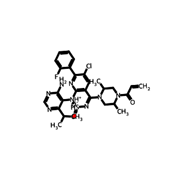 C=CC(=O)N1CC(C)N(/C(=N/[SH]=O)c2cc(Cl)c(-c3ccccc3F)nc2[NH+]([O-])c2c(N)ncnc2C(C)C)CC1C